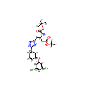 CC(C)(C)OC(=O)CC(Cn1nnc(-c2cccc(Oc3cc(F)cc(F)c3)c2)n1)NC(=O)OC(C)(C)C